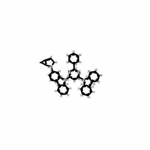 C1=C2CC2N(c2ccc3c4ccccc4n(-c4cc(-n5c6ccccc6c6ccccc65)nc(-c5ccccc5)n4)c3c2)C1